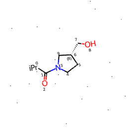 CC(C)C(=O)N1CC[C@@H](CO)C1